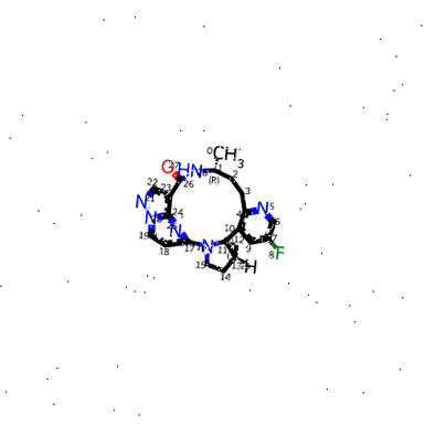 C[C@@H]1CCc2ncc(F)cc2[C@@]23C[C@@H]2CCN3c2ccn3ncc(c3n2)C(=O)N1